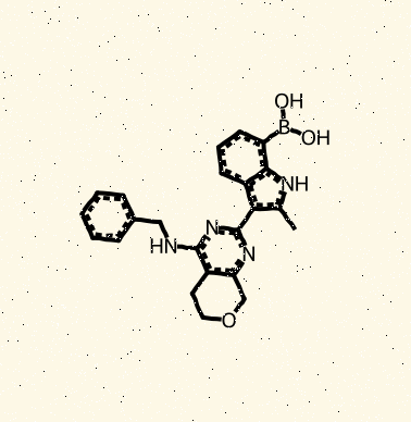 Cc1[nH]c2c(B(O)O)cccc2c1-c1nc2c(c(NCc3ccccc3)n1)CCOC2